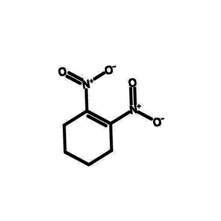 O=[N+]([O-])C1=C([N+](=O)[O-])CCCC1